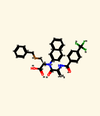 C=C(NC(=O)c1ccc(C(F)(F)F)cc1)C(=O)N(c1ccc2ccccc2c1)[C@@H](CSCc1ccccc1)C(=O)O